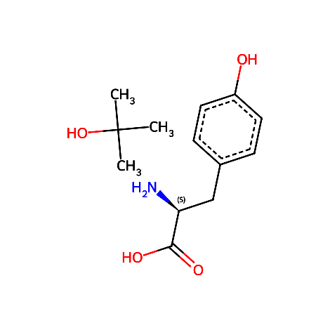 CC(C)(C)O.N[C@@H](Cc1ccc(O)cc1)C(=O)O